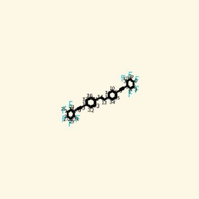 Fc1c(F)c(F)c(C#Cc2ccc(/C=C/c3ccc(C#Cc4c(F)c(F)c(F)c(F)c4F)cc3)cc2)c(F)c1F